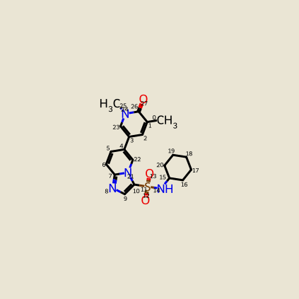 Cc1cc(-c2ccc3ncc(S(=O)(=O)NC4CCCCC4)n3c2)cn(C)c1=O